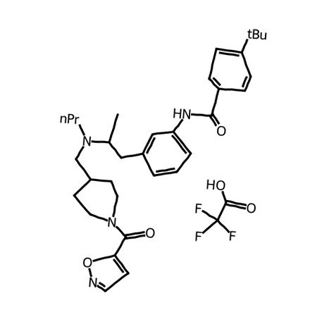 CCCN(CC1CCN(C(=O)c2ccno2)CC1)C(C)Cc1cccc(NC(=O)c2ccc(C(C)(C)C)cc2)c1.O=C(O)C(F)(F)F